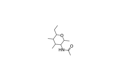 CCC1OC(C)C(NC(C)=O)C(C)C1C